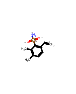 C=Cc1ccc(C)c(C)c1S(N)(=O)=O